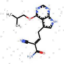 CC(C)COc1ncnc2[nH]cc(C/C=C(\C#N)C(N)=O)c12